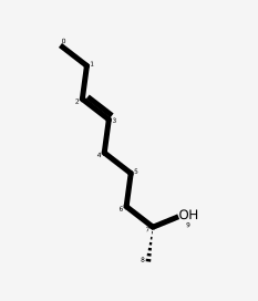 CCC=CCCC[C@@H](C)O